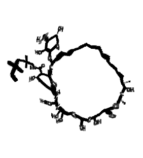 CCC(C)(C)CC(C)(C)CNC(=O)[C@H]1[C@@H]2CC(OC3OC[C@@H](O)[C@H](N)[C@@H]3O)/C=C/C=C/C=C/C=C/C=C/C=C/C=C/[C@H](C)[C@@H](O)C[C@H](C)OC(=O)CC(O)CC(O)CCC(O)C(O)CC(O)CC(O)(C[C@@H]1O)O2